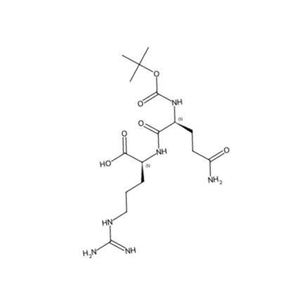 CC(C)(C)OC(=O)N[C@@H](CCC(N)=O)C(=O)N[C@@H](CCCNC(=N)N)C(=O)O